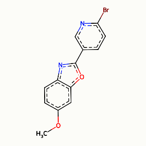 COc1ccc2nc(-c3ccc(Br)nc3)oc2c1